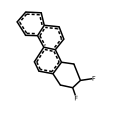 FC1Cc2ccc3c(ccc4ccccc43)c2CC1F